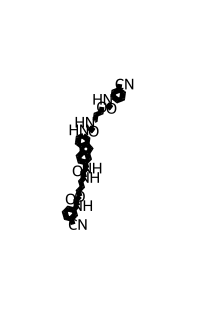 N#Cc1cccc(NC(=O)OCCCNC(=O)Nc2ccc3c(c2)Cc2cc(NC(=O)NCCCOC(=O)Nc4cccc(C#N)c4)ccc2-3)c1